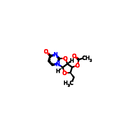 CC[C@H]1O[C@@H]2[C@H](Oc3nc(=O)ccn32)C1OC(C)=O